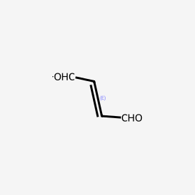 O=[C]/C=C/C=O